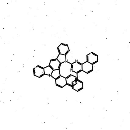 c1ccc(-c2nc(-n3c4ccccc4c4cc5c6ccccc6n6c7ccc8ccccc8c7c(c43)c56)nc3c2ccc2ccccc23)cc1